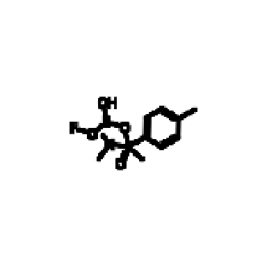 Cc1ccc(S(C)(=O)(OB(O)OF)N(C)C)cc1